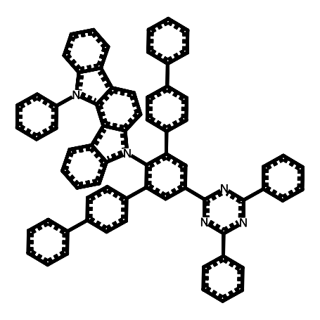 c1ccc(-c2ccc(-c3cc(-c4nc(-c5ccccc5)nc(-c5ccccc5)n4)cc(-c4ccc(-c5ccccc5)cc4)c3-n3c4ccccc4c4c3ccc3c5ccccc5n(-c5ccccc5)c34)cc2)cc1